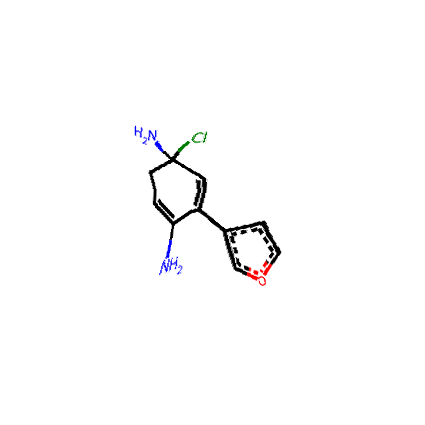 NC1=CCC(N)(Cl)C=C1c1ccoc1